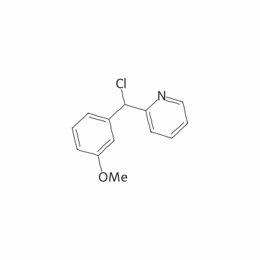 COc1cccc(C(Cl)c2ccccn2)c1